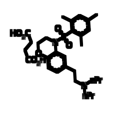 CCCN(CCC)CCc1ccc2c(c1)N(S(=O)(=O)c1c(C)cc(C)cc1C)CCO2.O=C(O)CCC(=O)O